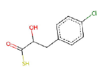 O=C(S)C(O)Cc1ccc(Cl)cc1